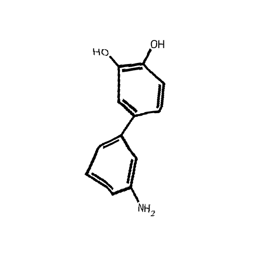 Nc1cccc(-c2ccc(O)c(O)c2)c1